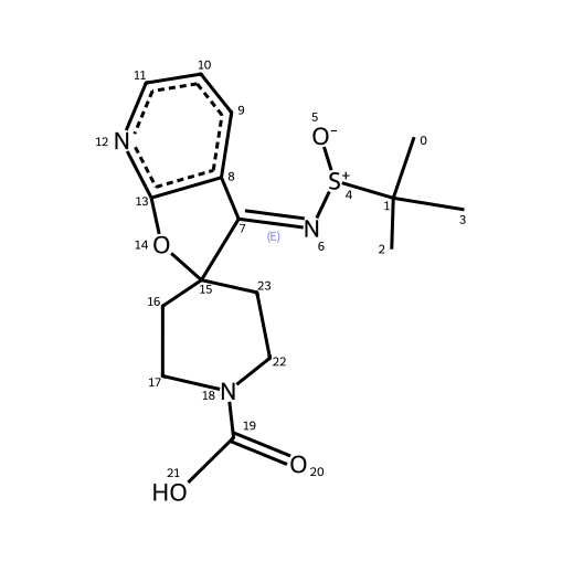 CC(C)(C)[S+]([O-])/N=C1\c2cccnc2OC12CCN(C(=O)O)CC2